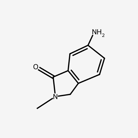 CN1Cc2ccc(N)cc2C1=O